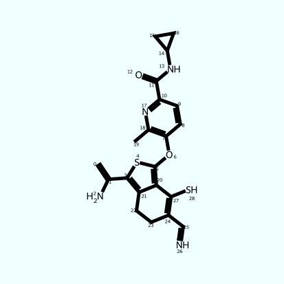 C=C(N)c1sc(Oc2ccc(C(=O)NC3CC3)nc2C)c2c1CCC(C=N)=C2S